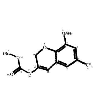 COc1cc(C(F)(F)F)cc2c1OCC(NC(=O)OC(C)(C)C)=C2